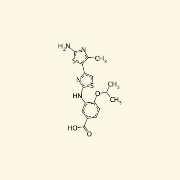 Cc1nc(N)sc1-c1csc(Nc2cc(C(=O)O)ccc2OC(C)C)n1